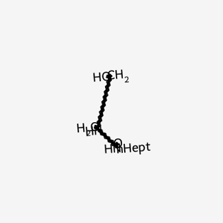 C=C(O)CCCCCCCCCCCCCCCCCCCC(=C)NCCCCCCCCC(=O)NCCCCCCC